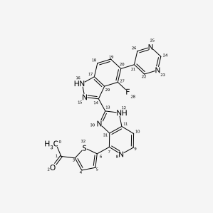 CC(=O)c1ccc(-c2nccc3[nH]c(-c4n[nH]c5ccc(-c6cncnc6)c(F)c45)nc23)s1